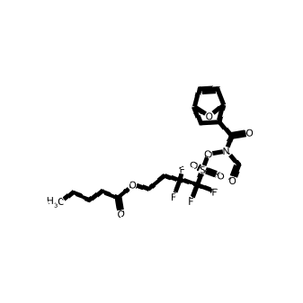 CCCCC(=O)OCCC(F)(F)C(F)(F)S(=O)(=O)ON(C=O)C(=O)C1CC2C=CC1O2